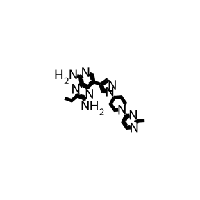 CCc1nc2c(N)ncc(-c3cnn(C4CCN(c5ccnc(C)n5)CC4)c3)c2nc1N